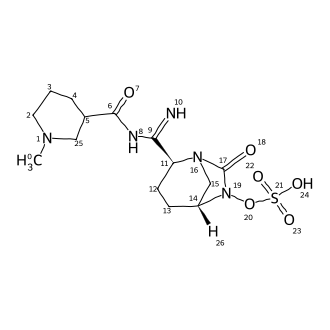 CN1CCCC(C(=O)NC(=N)[C@@H]2CC[C@@H]3CN2C(=O)N3OS(=O)(=O)O)C1